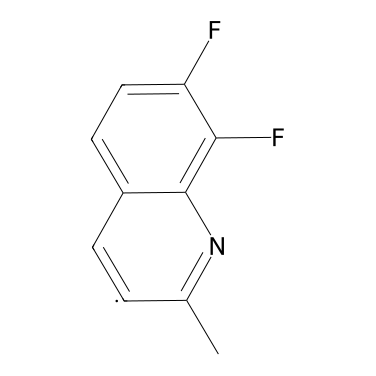 Cc1[c]cc2ccc(F)c(F)c2n1